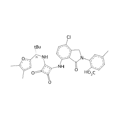 Cc1ccc(C(=O)O)c(N2Cc3c(Cl)ccc(Nc4c(N[C@H](c5cc(C)c(C)o5)C(C)(C)C)c(=O)c4=O)c3C2=O)c1